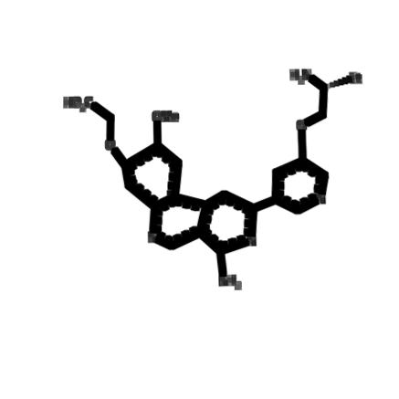 CC[C@@H](N)COc1cncc(-c2cc3c(cnc4cc(OCC(=O)O)c(OC)cc43)c(N)n2)c1